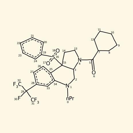 CCCN1CC2N(C(=O)C3CCCCC3)CCC2(S(=O)(=O)c2ccccc2)c2ccc(C(F)(C(F)(F)F)C(F)(F)F)cc21